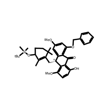 COc1cc(OCc2ccccc2)c2c(c1)[C@@H](CC1=C(C)C(O[Si](C)(C)C(C)(C)C)CCC1(C)C)c1c(OC)ccc(O)c1C2=O